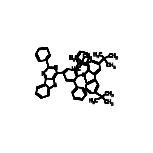 CC(C)(C)c1ccc2c(c1)c1cc(C(C)(C)C)cc(C(C)(C)C)c1n2-c1c(-c2ccccc2)cc(-c2nc(-c3ccccc3)nc3c2sc2ccccc23)cc1-c1ccccc1